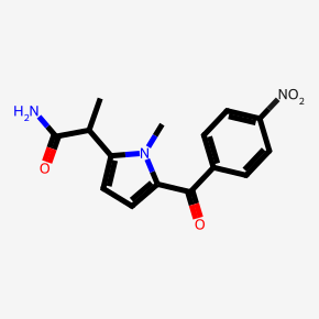 CC(C(N)=O)c1ccc(C(=O)c2ccc([N+](=O)[O-])cc2)n1C